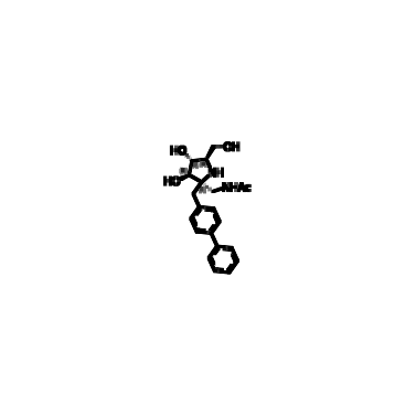 CC(=O)NC[C@@]1(Cc2ccc(-c3ccccc3)cc2)N[C@H](CO)[C@@H](O)[C@@H]1O